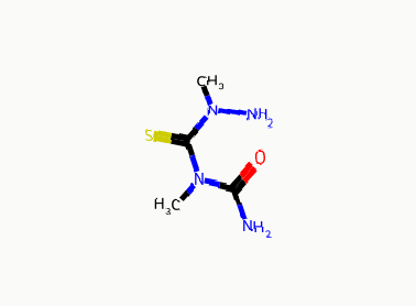 CN(N)C(=S)N(C)C(N)=O